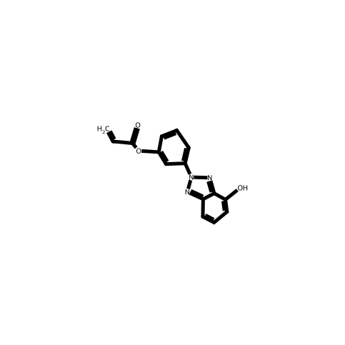 C=CC(=O)Oc1cccc(-n2nc3cccc(O)c3n2)c1